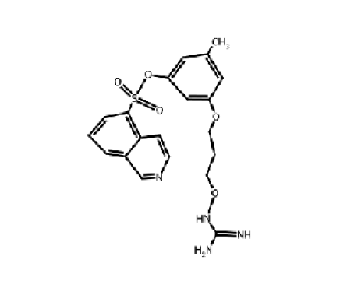 Cc1cc(OCCCONC(=N)N)cc(OS(=O)(=O)c2cccc3cnccc23)c1